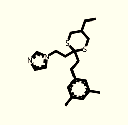 CCC1CSC(CCc2cc(C)cc(C)c2)(CCn2ccnc2)SC1